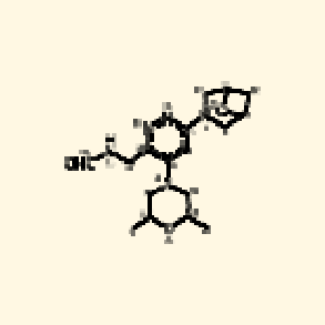 CC1CN(c2cc(N3CC4CC(C3)O4)nnc2CNC=O)CC(C)O1